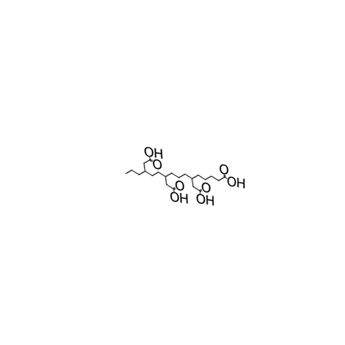 CCCC(CCC(CCCC(CCCCC(=O)O)CC(=O)O)CC(=O)O)CC(=O)O